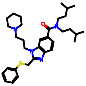 CC(C)CCN(CCC(C)C)C(=O)c1ccc2nc(CSc3ccccc3)n(CCCN3CCCCC3)c2c1